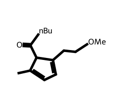 CCCCC(=O)C1C(C)=CC=C1CCOC